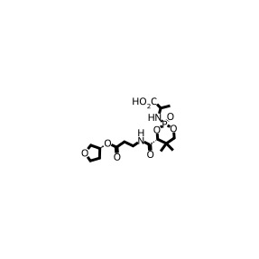 CC(NP1(=O)OCC(C)(C)[C@H](C(=O)NCCC(=O)O[C@@H]2CCOC2)O1)C(=O)O